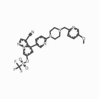 COc1ccc(CN2CCN(c3ccc(-c4cc(OS(=O)(=O)C(F)(F)F)cn5ncc(C#N)c45)cn3)CC2)nc1